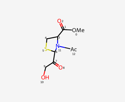 COC(=O)C1CSC(C(=O)CO)N1C(C)=O